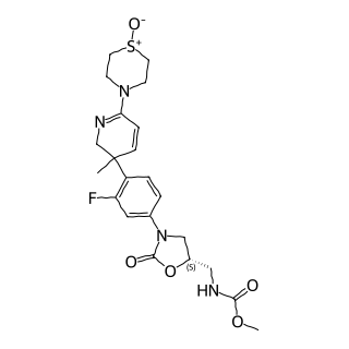 COC(=O)NC[C@H]1CN(c2ccc(C3(C)C=CC(N4CC[S+]([O-])CC4)=NC3)c(F)c2)C(=O)O1